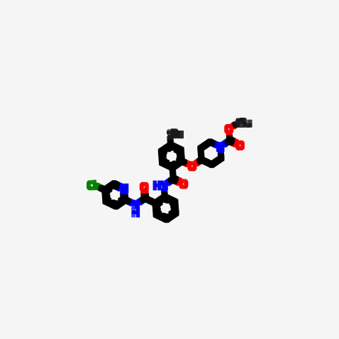 CC(C)(C)OC(=O)N1CCC(Oc2cc(C(C)(C)C)ccc2C(=O)Nc2ccccc2C(=O)Nc2ccc(Cl)cn2)CC1